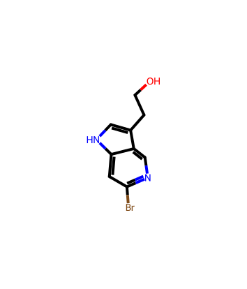 OCCc1c[nH]c2cc(Br)ncc12